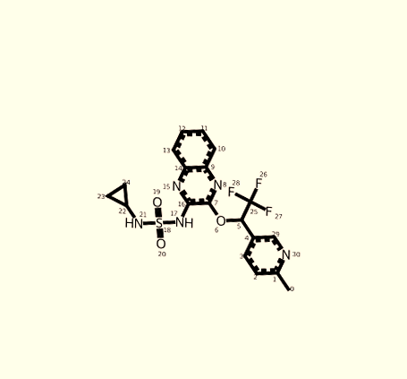 Cc1ccc(C(Oc2nc3ccccc3nc2NS(=O)(=O)NC2CC2)C(F)(F)F)cn1